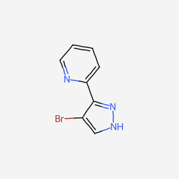 Brc1c[nH]nc1-c1ccccn1